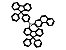 c1ccc(C2(c3ccc(N(c4ccc5c(ccc6ccccc65)c4)c4cccc5c4-c4ccccc4C5(c4ccccc4)c4ccccc4)cc3)c3ccccc3-c3ccccc32)cc1